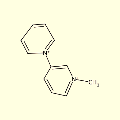 C[n+]1cccc(-[n+]2ccccc2)c1